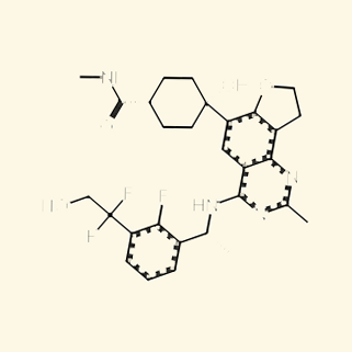 CNC(=O)[C@H]1CC[C@](O)(c2cc3c(N[C@H](C)c4cccc(C(F)(F)CO)c4F)nc(C)nc3c3c2OCC3)CC1